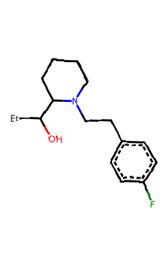 [CH2]CC(O)C1CCCCN1CCc1ccc(F)cc1